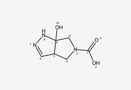 O=C(O)N1CC2C=NNC2(O)C1